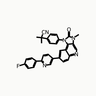 Cn1c(=O)n(-c2ccc(C(C)(C)C#N)cc2)c2c3cc(-c4ccc(-c5ccc(F)cc5)nc4)ccc3ncc21